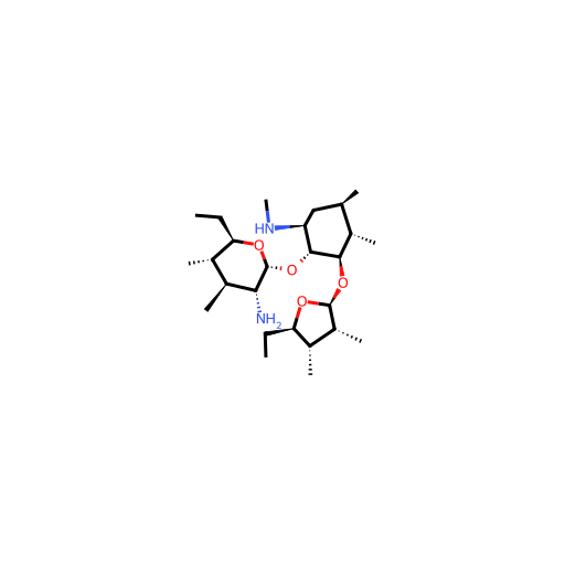 CC[C@H]1O[C@@H](O[C@@H]2[C@@H](C)[C@H](C)C[C@H](NC)[C@H]2O[C@H]2O[C@H](CC)[C@@H](C)[C@H](C)[C@H]2N)[C@H](C)[C@@H]1C